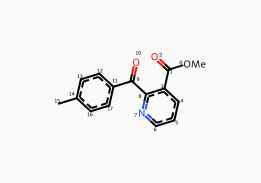 COC(=O)c1cccnc1C(=O)c1ccc(C)cc1